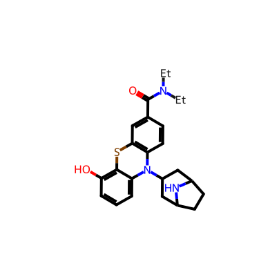 CCN(CC)C(=O)c1ccc2c(c1)Sc1c(O)cccc1N2C1CC2CCC(C1)N2